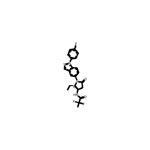 CC[C@@H]1C(NC(=O)C(C)(F)F)CC(=O)N1c1ccc2c(cnn2-c2ccc(F)cc2)c1